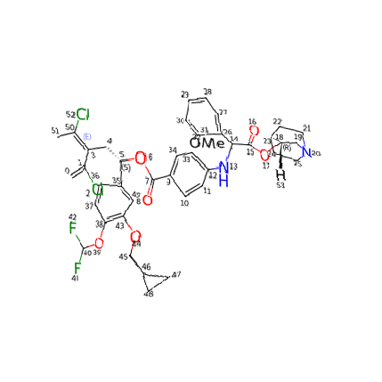 C=C(Cl)/C(C[C@H](OC(=O)c1ccc(NC(C(=O)O[C@H]2CN3CCC2CC3)c2ccccc2OC)cc1)c1ccc(OC(F)F)c(OCC2CC2)c1)=C(\C)Cl